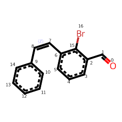 O=Cc1cccc(/C=C\c2ccccc2)c1Br